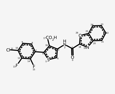 O=C(Nc1csc(-c2ccc(Cl)c(F)c2F)c1C(=O)O)c1nc2ccccc2o1